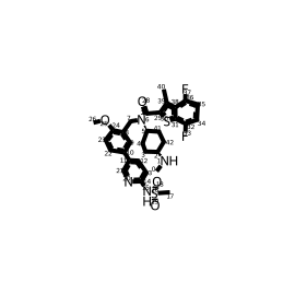 CN[C@H]1CC[C@H](N(Cc2cc(-c3ccc(NS(C)(=O)=O)nc3)ccc2OC)C(=O)c2sc3c(F)ccc(F)c3c2C)CC1